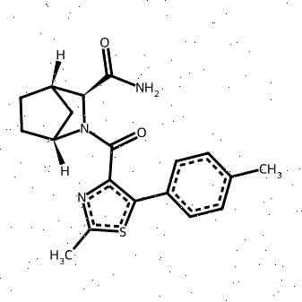 Cc1ccc(-c2sc(C)nc2C(=O)N2[C@@H]3CC[C@@H](C3)[C@H]2C(N)=O)cc1